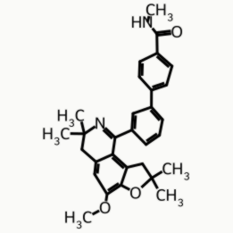 CNC(=O)c1ccc(-c2cccc(C3=NC(C)(C)Cc4cc(OC)c5c(c43)CC(C)(C)O5)c2)cc1